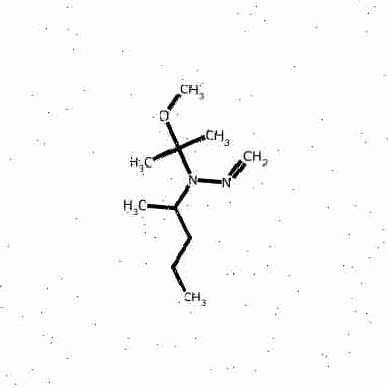 C=NN(C(C)CCC)C(C)(C)OC